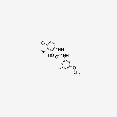 Cc1ccc(NC(=O)Nc2cc(F)cc(OC(F)(F)F)c2)c(O)c1Br